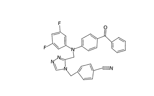 N#Cc1ccc(Cn2cnnc2CN(c2ccc(C(=O)c3ccccc3)cc2)c2cc(F)cc(F)c2)cc1